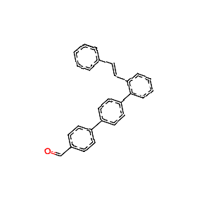 O=Cc1ccc(-c2ccc(-c3ccccc3C=Cc3ccccc3)cc2)cc1